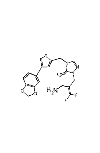 NCC(Cn1ncn(Cc2cc(-c3ccc4c(c3)OCO4)cs2)c1=O)=C(F)F